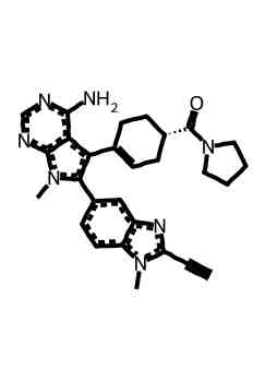 C#Cc1nc2cc(-c3c(C4=CC[C@@H](C(=O)N5CCCC5)CC4)c4c(N)ncnc4n3C)ccc2n1C